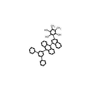 Cc1c(C)c(O)c(-c2cc(-c3c4ccccc4c(-c4cc(-c5ccccc5)cc(-c5ccccc5)c4)c4ccccc34)c3ccccc3c2)c(O)c1O